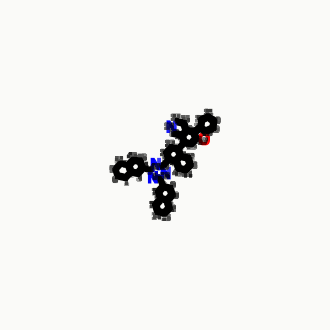 C1=Cc2cc(-c3nc(-c4ccc5ccccc5c4)nc(-c4ccc(-c5cc6oc7ccccc7c6c6ccncc56)c5ccccc45)n3)ccc2CC1